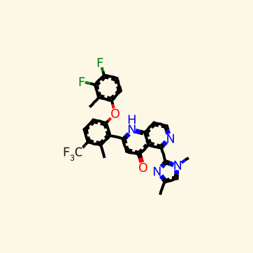 Cc1cn(C)c(-c2nccc3[nH]c(-c4c(Oc5ccc(F)c(F)c5C)ccc(C(F)(F)F)c4C)cc(=O)c23)n1